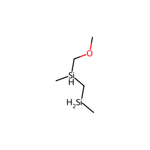 COC[SiH](C)C[SiH2]C